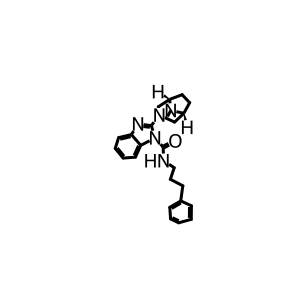 CN1[C@@H]2CC[C@H]1CN(c1nc3ccccc3n1C(=O)NCCCc1ccccc1)C2